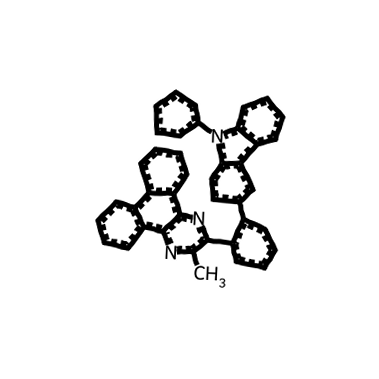 Cc1nc2c3ccccc3c3ccccc3c2nc1-c1ccccc1-c1ccc2c(c1)c1ccccc1n2-c1ccccc1